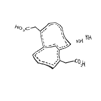 O=C(O)c1cccc2c(C(=O)O)cccc12.[KH].[KH]